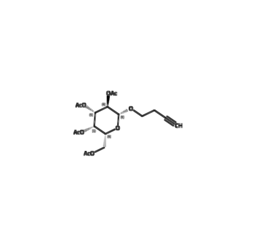 C#CCCO[C@@H]1O[C@H](COC(C)=O)[C@H](OC(C)=O)[C@H](OC(C)=O)[C@H]1OC(C)=O